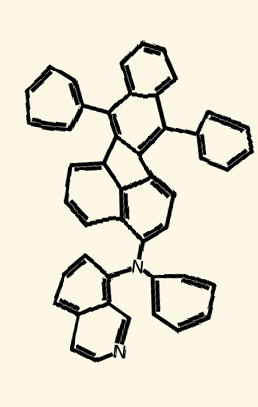 c1ccc(-c2c3c(c(-c4ccccc4)c4ccccc24)-c2ccc(N(c4ccccc4)c4cccc5ccncc45)c4cccc-3c24)cc1